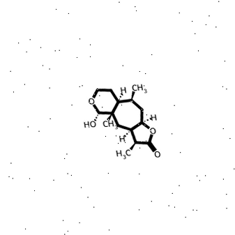 C[C@@H]1C(=O)O[C@@H]2C[C@H](C)[C@@H]3CCO[C@@H](O)[C@@]3(C)C[C@H]12